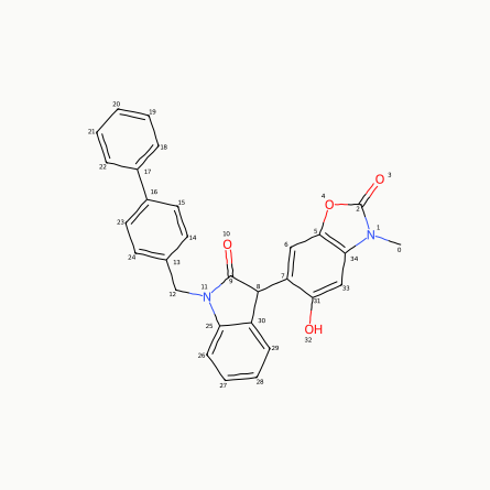 Cn1c(=O)oc2cc(C3C(=O)N(Cc4ccc(-c5ccccc5)cc4)c4ccccc43)c(O)cc21